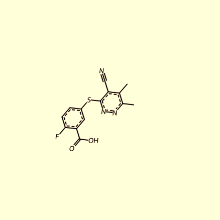 Cc1nnc(Sc2ccc(F)c(C(=O)O)c2)c(C#N)c1C